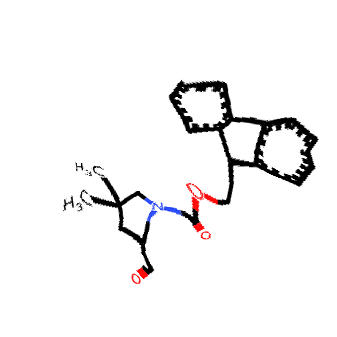 CC1(C)CC(C=O)N(C(=O)OCC2c3ccccc3-c3ccccc32)C1